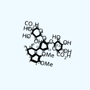 COc1ccc(C[C@@H](C)[C@@H](C)Cc2ccc(O[C@@H]3O[C@H](C(=O)O)[C@@H](O)[C@H](O)[C@H]3O)c(O[C@@H]3O[C@H](C(=O)O)[C@@H](O)[C@H](O)[C@H]3O)c2)cc1OC